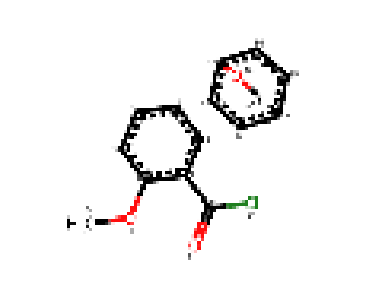 COc1ccccc1C(=O)Cl.c1cc2ccc1CO2